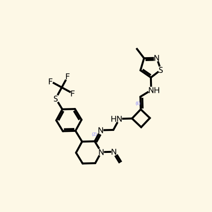 C=NN1CCCC(c2ccc(SC(F)(F)F)cc2)/C1=N/CNC1CC/C1=C\Nc1cc(C)ns1